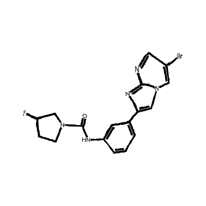 O=C(Nc1cccc(-c2cn3cc(Br)cnc3n2)c1)N1CCC(F)C1